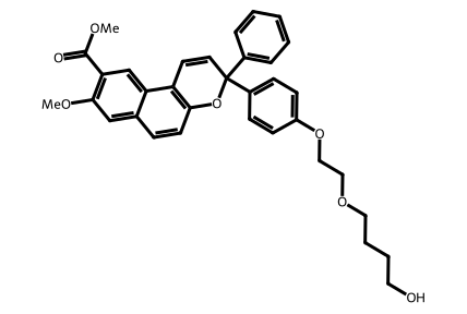 COC(=O)c1cc2c3c(ccc2cc1OC)OC(c1ccccc1)(c1ccc(OCCOCCCCO)cc1)C=C3